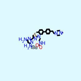 Cc1ccc(-c2ccc(CCN3CCN(C)CC3)cc2)cc1N(CCNC(=O)OC(C)(C)C)c1nc(-c2nc(N)cc(N)n2)cs1